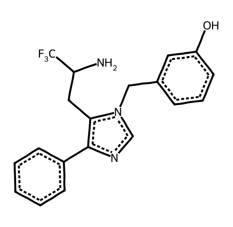 NC(Cc1c(-c2ccccc2)ncn1Cc1cccc(O)c1)C(F)(F)F